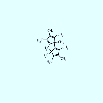 CC1=[C]C(C)(C2=C(C)C(C)=C(C)C2(C)C)C(C)=C1C